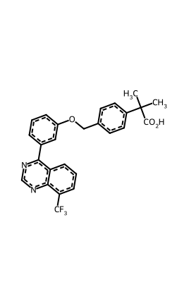 CC(C)(C(=O)O)c1ccc(COc2cccc(-c3ncnc4c(C(F)(F)F)cccc34)c2)cc1